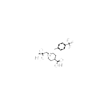 CC1(CN2CCC(C(=O)O)C[C@H]2Cc2ccc(C(F)(F)F)cc2)CO1